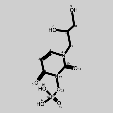 O=c1ccn(CC(O)CO)c(=O)n1OP(=O)(O)O